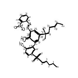 CCCCCC(C)(C)c1ccc(O)c(-c2cc(C(C)(C)CCCCC)cc(N=Nc3ccccc3[N+](=O)[O-])c2O)c1